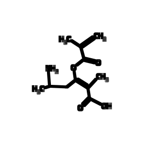 C=C(C)C(=O)OC(CC(C)N)=C(C)C(=O)O